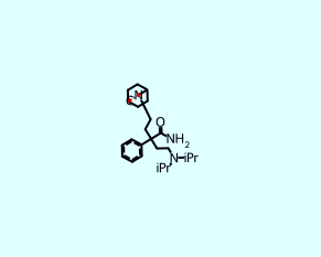 CC(C)N(CCC(CCN1CC2CCC(CC2)C1)(C(N)=O)c1ccccc1)C(C)C